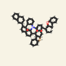 c1ccc(-c2ccccc2N(c2ccc(-c3cccc4c3oc3ccccc34)cc2)c2ccccc2-c2cccc3sc4ccccc4c23)c(-c2ccc3ccccc3c2)c1